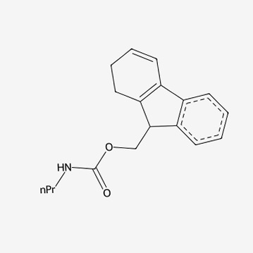 CCCNC(=O)OCC1C2=C(C=CCC2)c2ccccc21